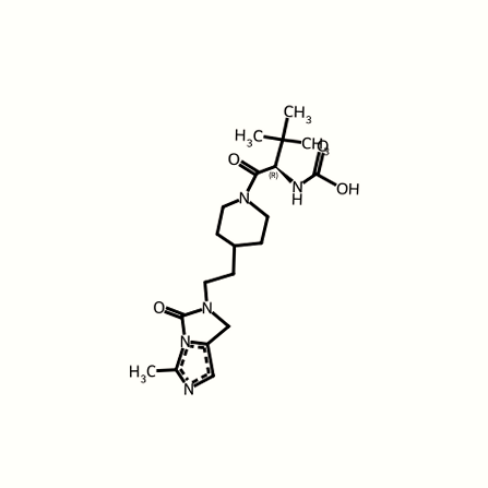 Cc1ncc2n1C(=O)N(CCC1CCN(C(=O)[C@H](NC(=O)O)C(C)(C)C)CC1)C2